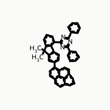 CC1(C)c2cc(-c3ccc4ccc5cccc6ccc3c4c56)ccc2-c2c(-c3nc(-c4ccccc4)nc(-c4ccccc4)n3)cccc21